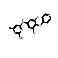 Cc1cc(Nc2cc(Cl)c(Sc3ccncc3)c(Cl)c2)nc(N)n1